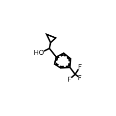 OC(c1ccc(C(F)(F)F)cc1)C1CC1